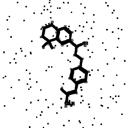 CC(=Cc1ccc(CCC(O)c2ccc3c(c2)C(C)(C)CCS3)cc1)C(=O)O